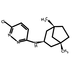 C[C@]12CC[C@](C)(C[C@@H](Nc3ccc(Cl)nn3)C1)C2